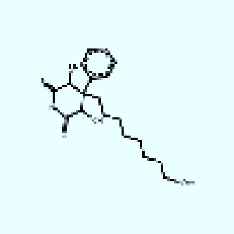 CCCCCCCCCCCCCCCCCCC1(c2ccccc2)C(C#N)C(=O)NC(=O)C1C#N